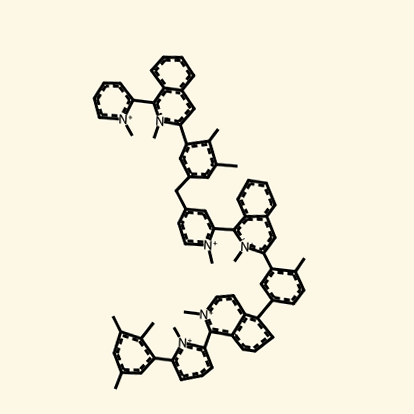 Cc1cc(C)c(C)c(-c2cccc(-c3c4cccc(-c5ccc(C)c(-c6cc7ccccc7c(-c7cc(Cc8cc(C)c(C)c(-c9cc%10ccccc%10c(-c%10cccc[n+]%10C)[n+]9C)c8)cc[n+]7C)[n+]6C)c5)c4cc[n+]3C)[n+]2C)c1